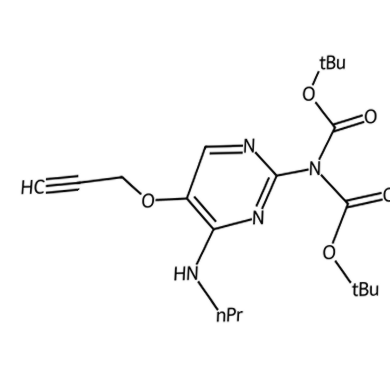 C#CCOc1cnc(N(C(=O)OC(C)(C)C)C(=O)OC(C)(C)C)nc1NCCC